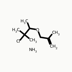 C=C(C)COC(C)C(C)(C)Cl.N